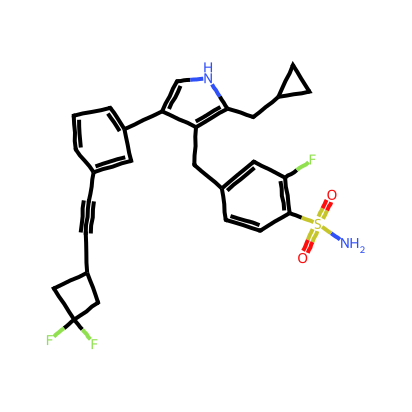 NS(=O)(=O)c1ccc(Cc2c(-c3cccc(C#CC4CC(F)(F)C4)c3)c[nH]c2CC2CC2)cc1F